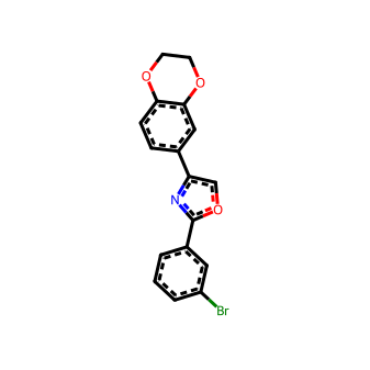 Brc1cccc(-c2nc(-c3ccc4c(c3)OCCO4)co2)c1